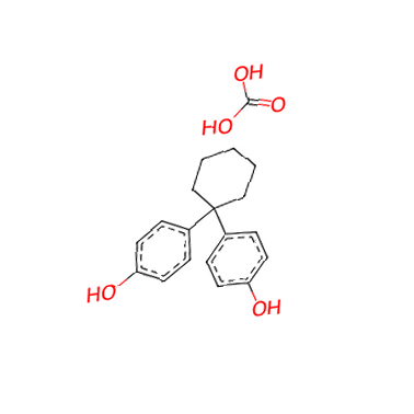 O=C(O)O.Oc1ccc(C2(c3ccc(O)cc3)CCCCC2)cc1